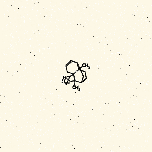 CC1(C)C2CCC3(C)C(C=CCC13O)C2